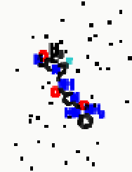 Cc1oncc1CN1C[C@@H](F)CC1CNC(=O)c1ccc(C(=O)Nc2ccccc2N)nc1